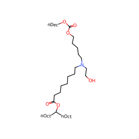 CCCCCCCCCCOC(=O)OCCCCCN(CCO)CCCCCCCC(=O)OC(CCCCCCCC)CCCCCCCC